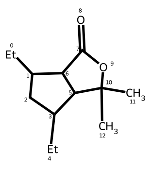 CCC1CC(CC)C2C1C(=O)OC2(C)C